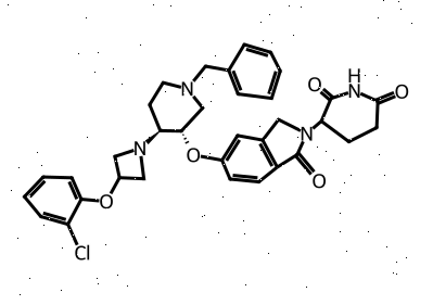 O=C1CCC(N2Cc3cc(O[C@H]4CN(Cc5ccccc5)CC[C@@H]4N4CC(Oc5ccccc5Cl)C4)ccc3C2=O)C(=O)N1